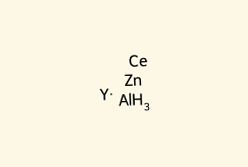 [AlH3].[Ce].[Y].[Zn]